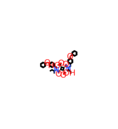 CCC(C)N(Cc1ccc(Oc2ccccc2)cc1)C(=O)[C@H]1[C@H](C(=O)O)[C@H](C(=O)N(Cc2ccc(Oc3ccccc3)cc2)C(C)CC)[C@H]1C(=O)O